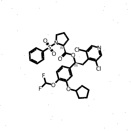 O=C(O[C@@H](Cc1c(Cl)cncc1Cl)c1ccc(OC(F)F)c(OC2CCCC2)c1)[C@@H]1CCCN1S(=O)(=O)c1ccccc1